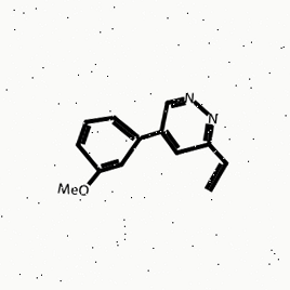 C=Cc1cc(-c2cccc(OC)c2)cnn1